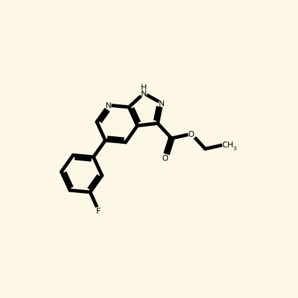 CCOC(=O)c1n[nH]c2ncc(-c3cccc(F)c3)cc12